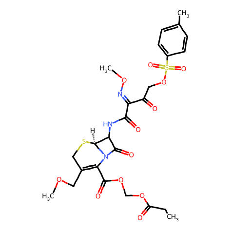 CCC(=O)OCOC(=O)C1=C(COC)CS[C@H]2C(NC(=O)C(=NOC)C(=O)COS(=O)(=O)c3ccc(C)cc3)C(=O)N12